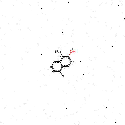 Cc1cccc2c(C(C)(C)C)c(O)ccc12